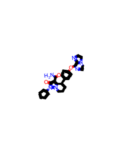 NC(=O)c1c2n(n(-c3ccccc3)c1=O)CCCC2c1ccc(Oc2nccn3ccnc23)cc1